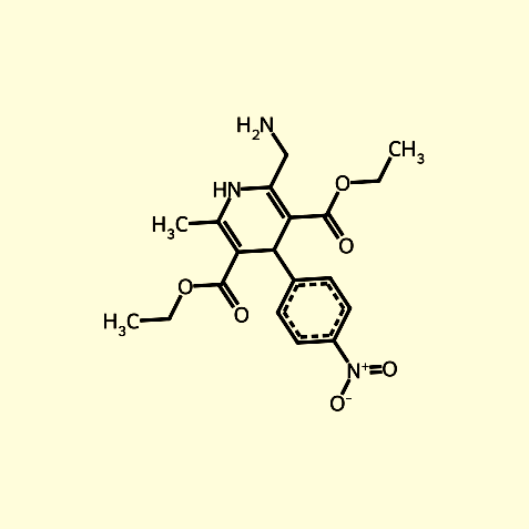 CCOC(=O)C1=C(C)NC(CN)=C(C(=O)OCC)C1c1ccc([N+](=O)[O-])cc1